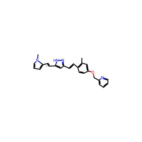 Cc1cc(OCc2ccccn2)ccc1C=Cc1cc(/C=C/c2cccn2C)[nH]n1